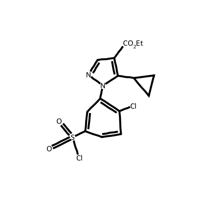 CCOC(=O)c1cnn(-c2cc(S(=O)(=O)Cl)ccc2Cl)c1C1CC1